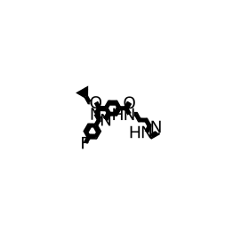 O=C(NCCCc1ncc[nH]1)c1ccc2c(OCC3CC3)nc(-c3ccc(F)cc3)nc2c1